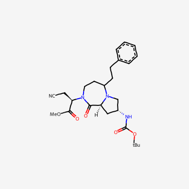 COC(=O)[C@@H](CC#N)N1CCC(CCc2ccccc2)N2C[C@H](NC(=O)OC(C)(C)C)C[C@H]2C1=O